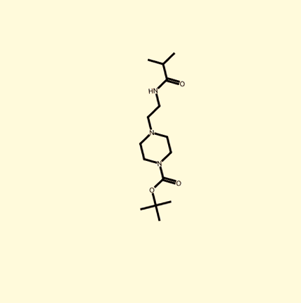 CC(C)C(=O)NCCN1CCN(C(=O)OC(C)(C)C)CC1